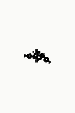 CC(=O)N[C@@H](C)[C@H](Oc1cc2cnn(-c3ccc(F)cc3)c2cc1Cl)c1ccc(F)cc1